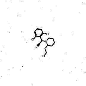 N#CC(c1c(Cl)cccc1Cl)N1CCCCC1CCO